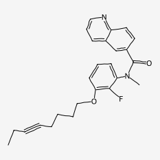 CCC#CCCCCOc1cccc(N(C)C(=O)c2ccc3ncccc3c2)c1F